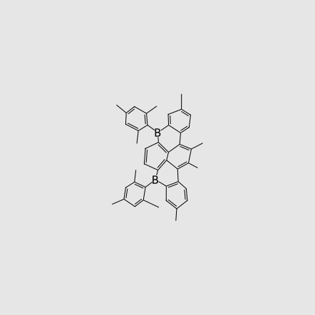 Cc1cc(C)c(B2c3cc(C)ccc3-c3c(C)c(C)c4c5c(ccc2c35)B(c2c(C)cc(C)cc2C)c2cc(C)ccc2-4)c(C)c1